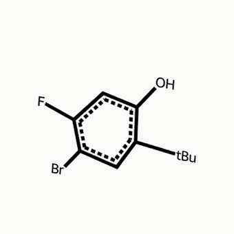 CC(C)(C)c1cc(Br)c(F)cc1O